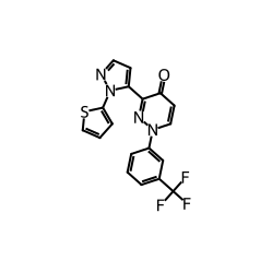 O=c1ccn(-c2cccc(C(F)(F)F)c2)nc1-c1ccnn1-c1cccs1